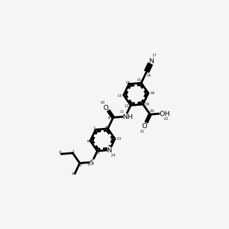 CCC(C)Sc1ccc(C(=O)Nc2ccc(C#N)cc2C(=O)O)cn1